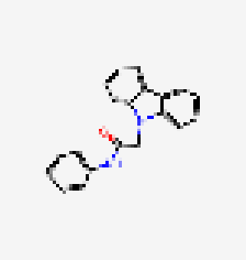 O=C(Cn1c2ccccc2c2ccccc21)Nc1ccccc1